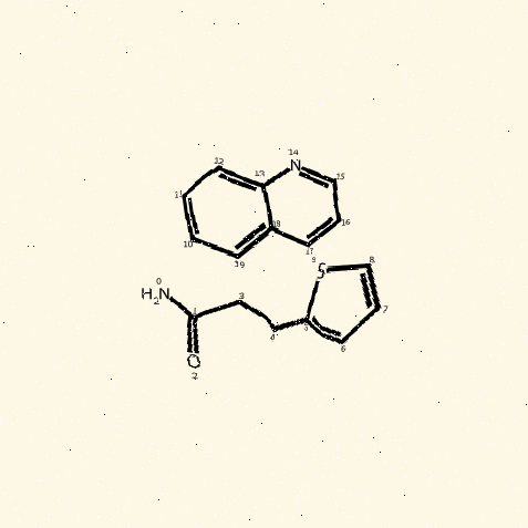 NC(=O)CCc1cccs1.c1ccc2ncccc2c1